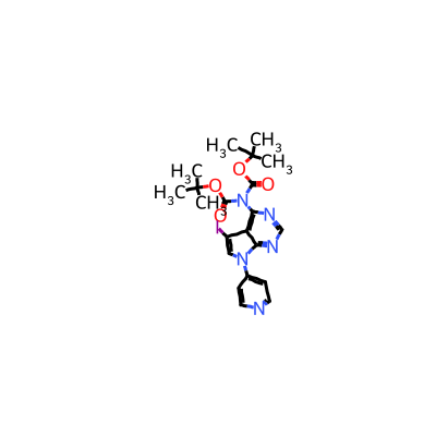 CC(C)(C)OC(=O)N(C(=O)OC(C)(C)C)c1ncnc2c1c(I)cn2-c1ccncc1